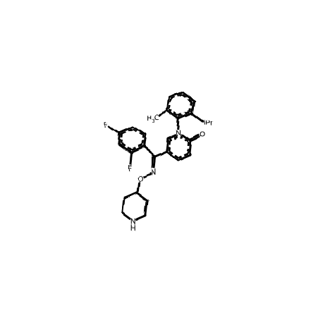 Cc1cccc(C(C)C)c1-n1cc(/C(=N/OC2CCNCC2)c2ccc(F)cc2F)ccc1=O